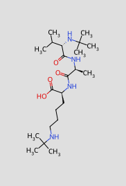 CC(C)[C@H](NC(C)(C)C)C(=O)N[C@@H](C)C(=O)N[C@@H](CCCCNC(C)(C)C)C(=O)O